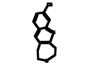 N#Cc1ccc2cc3c(nc2c1)CCOCC3